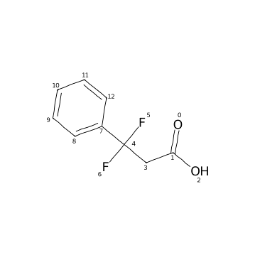 O=C(O)CC(F)(F)c1ccccc1